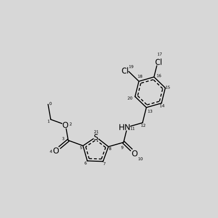 CCOC(=O)c1ccc(C(=O)NCc2ccc(Cl)c(Cl)c2)s1